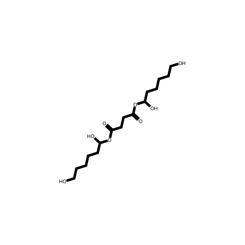 O=C(CCC(=O)OC(O)CCCCCO)OC(O)CCCCCO